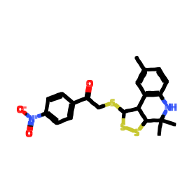 Cc1ccc2c(c1)C1C(SCC(=O)c3ccc([N+](=O)[O-])cc3)SSC1C(C)(C)N2